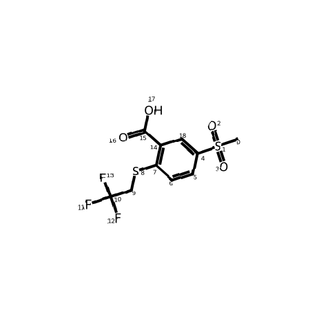 CS(=O)(=O)c1ccc(SCC(F)(F)F)c(C(=O)O)c1